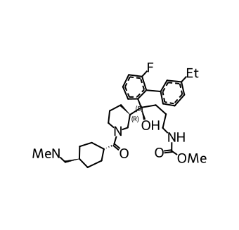 CCc1cccc(-c2c(F)cccc2[C@](O)(CCCNC(=O)OC)[C@@H]2CCCN(C(=O)[C@H]3CC[C@H](CNC)CC3)C2)c1